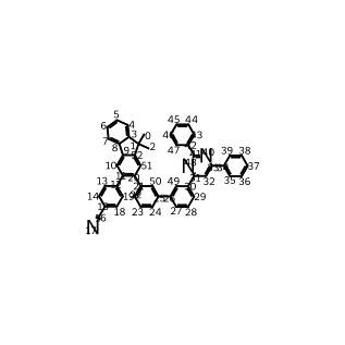 CC1(C)c2ccccc2-c2cc(-c3ccc(C#N)cc3)c(-c3cccc(-c4cccc(-c5cc(-c6ccccc6)nc(-c6ccccc6)n5)c4)c3)cc21